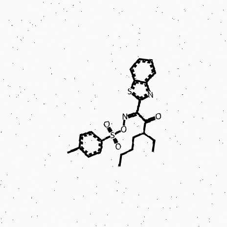 CCCCC(CC)C(=O)/C(=N\OS(=O)(=O)c1ccc(C)cc1)c1nc2ccccc2s1